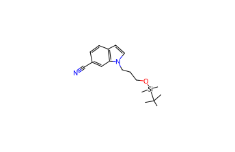 CC(C)(C)[Si](C)(C)OCCCn1ccc2ccc(C#N)cc21